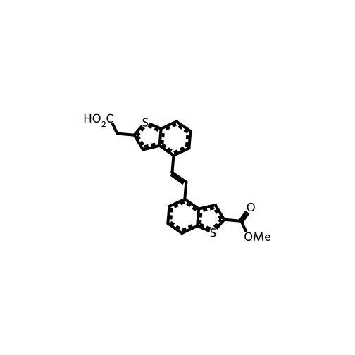 COC(=O)c1cc2c(/C=C/c3cccc4sc(CC(=O)O)cc34)cccc2s1